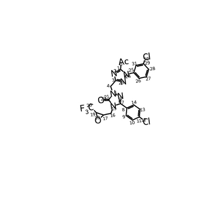 CC(=O)c1nc(Cn2nc(-c3ccc(Cl)cc3)n(CC3OC3C(F)(F)F)c2=O)nn1-c1cccc(Cl)c1